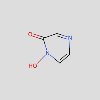 O=c1cnccn1O